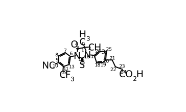 CC1(C)C(=O)N(c2ccc(C#N)c(C(F)(F)F)c2)C(=S)N1c1ccc(CCCC(=O)O)cc1